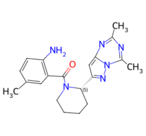 Cc1ccc(N)c(C(=O)N2CCCC[C@H]2c2cc3nc(C)nc(C)n3n2)c1